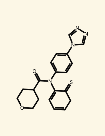 O=C(C1CCOCC1)N(C1=CC=CCC1=S)c1ccc(-n2cnnc2)cc1